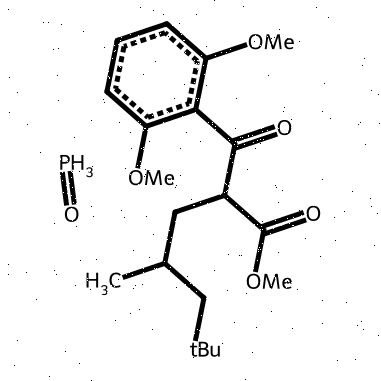 COC(=O)C(CC(C)CC(C)(C)C)C(=O)c1c(OC)cccc1OC.O=[PH3]